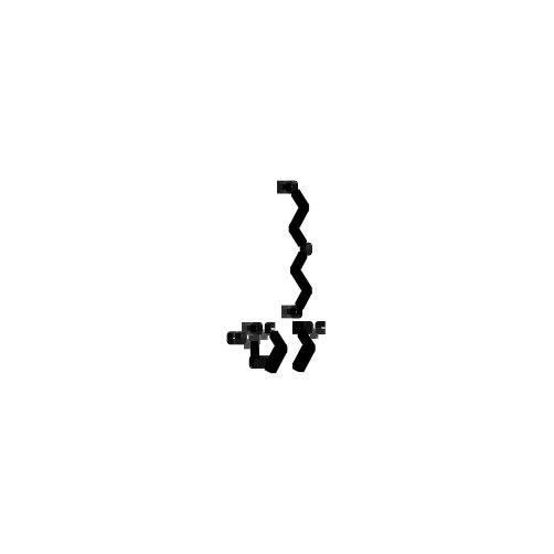 C=CC(=O)O.C=CC(=O)O.O=C(O)O.OCCOCCO